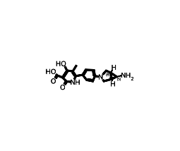 Cc1c(-c2ccc(N3C[C@@H]4[C@@H](N)[C@@H]4C3)cc2)[nH]c(=O)c(C(=O)O)c1O